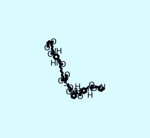 O=C(CCCCCN1C(=O)CC(SCCOC(=O)Nc2ccccc2NC(=O)c2ccc(CNC(=O)OCc3cccnc3)cc2)C1=O)NCC1CCC(C(=O)NCCN2C(=O)C=CC2=O)CC1